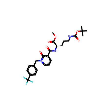 COC(=O)[C@H](CCCNC(=O)OC(C)(C)C)NC(=O)c1cccn(Cc2ccc(C(F)(F)F)cc2)c1=O